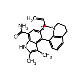 C=CC(=O)N1CCCc2cccc(-c3c(F)cc(C(N)=O)c4[nH]c(C)c(C)c34)c21